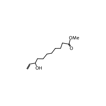 C=CC(O)CCCCCCCC(=O)OC